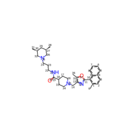 Cc1ccc2ccccc2c1-c1nc(CN2CCC(C(=O)NCCCN3C[C@H](C)C[C@H](C)C3)CC2)c(C)o1